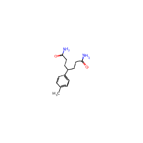 Cc1ccc(C(CCC(N)=O)CCC(N)=O)cc1